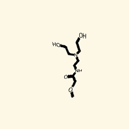 COCC(=O)NCCN(CCO)CCO